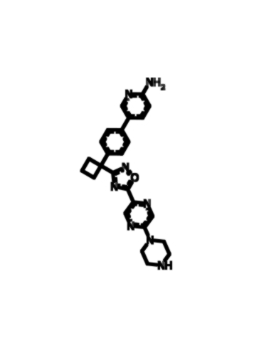 Nc1ccc(-c2ccc(C3(c4noc(-c5cnc(N6CCNCC6)cn5)n4)CCC3)cc2)cn1